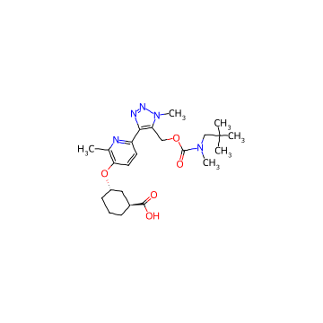 Cc1nc(-c2nnn(C)c2COC(=O)N(C)CC(C)(C)C)ccc1O[C@H]1CCC[C@H](C(=O)O)C1